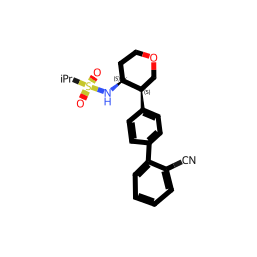 CC(C)S(=O)(=O)N[C@H]1CCOC[C@H]1c1ccc(-c2ccccc2C#N)cc1